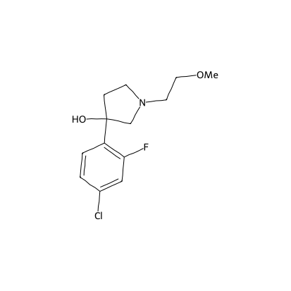 COCCN1CCC(O)(c2ccc(Cl)cc2F)C1